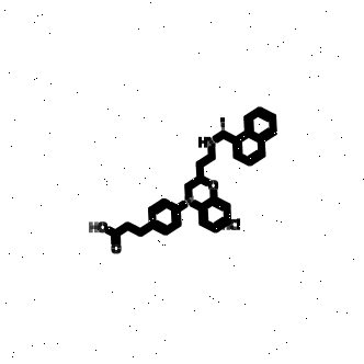 C[C@@H](NCCC1CN(c2ccc(CCC(=O)O)cc2)c2ccccc2O1)c1cccc2ccccc12.Cl